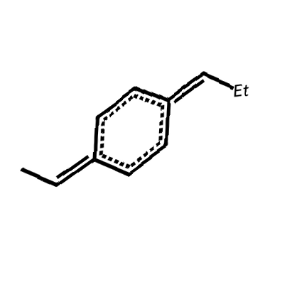 CC=c1ccc(=CCC)cc1